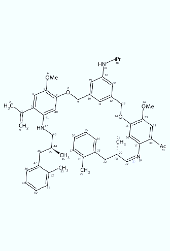 C=C(C)c1cc(OC)c(OCc2cc(COc3cc(/N=C\[C@@H](C)Cc4ccccc4C)c(C(C)=O)cc3OC)cc(NC(C)C)c2)cc1NC[C@@H](C)Cc1ccccc1C